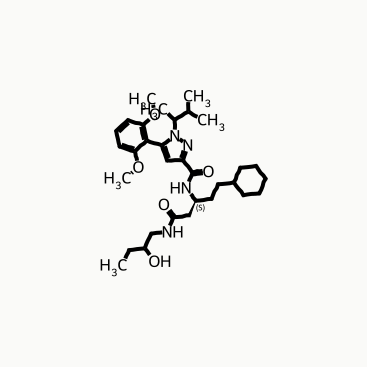 CCC(O)CNC(=O)C[C@H](CCC1CCCCC1)NC(=O)c1cc(-c2c(OC)cccc2OC)n(C(C)C(C)C)n1